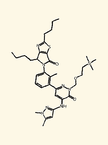 CCCCc1nc2c(s1)C(=O)N(c1cccc(-c3cc(Nc4cc(C)n(C)n4)c(=O)n(COCC[Si](C)(C)C)n3)c1C)C2CCCC